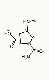 CNC1CCN(C(N)=O)C1.O=CO